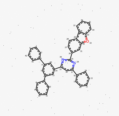 c1ccc(-c2cc(-c3ccccc3)cc(-c3cc(-c4ccccc4)nc(-c4ccc5c(c4)oc4ccccc45)n3)c2)cc1